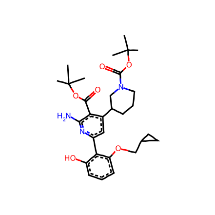 CC(C)(C)OC(=O)c1c(C2CCCN(C(=O)OC(C)(C)C)C2)cc(-c2c(O)cccc2OCC2CC2)nc1N